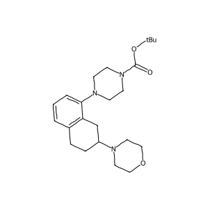 CC(C)(C)OC(=O)N1CCN(c2cccc3c2CC(N2CCOCC2)CC3)CC1